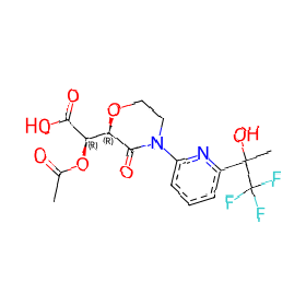 CC(=O)O[C@@H](C(=O)O)[C@H]1OCCN(c2cccc(C(C)(O)C(F)(F)F)n2)C1=O